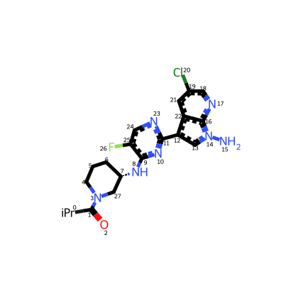 CC(C)C(=O)N1CCC[C@H](Nc2nc(-c3cn(N)c4ncc(Cl)cc34)ncc2F)C1